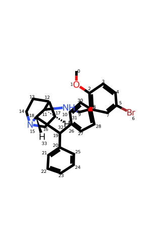 COc1ccc(Br)cc1CN[C@@H]1C2CCN(CC2)[C@H]1C(c1ccccc1)c1ccccc1